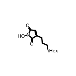 CCCCCCCCCC1=CC(=O)N(O)C1=O